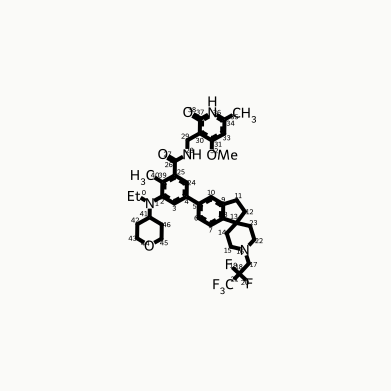 CCN(c1cc(-c2ccc3c(c2)CCC32CCN(CC(F)(F)C(F)(F)F)CC2)cc(C(=O)NCc2c(OC)cc(C)[nH]c2=O)c1C)C1CCOCC1